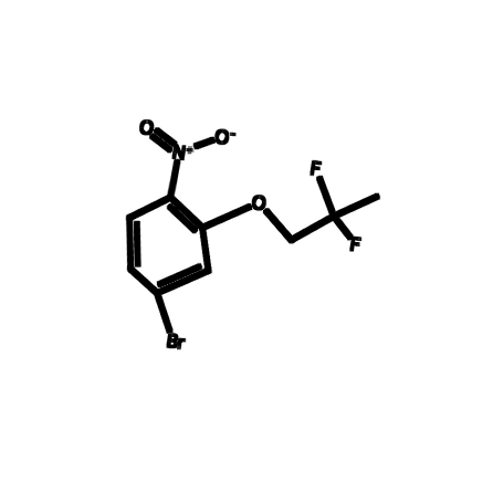 CC(F)(F)COc1cc(Br)ccc1[N+](=O)[O-]